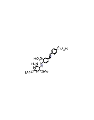 COc1nc(N)c(/N=N/c2ccc(/N=N/c3ccc(S(=O)(=O)O)cc3)cc2S(=O)(=O)O)c(OC)n1